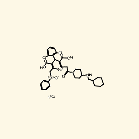 Cl.O=C(O)C1=C(CC(=O)N2CCC(NCC3CCCCC3)CC2)NC(C[S@+]([O-])c2ccccc2)=C(C(=O)O)C1c1c(Cl)cccc1Cl